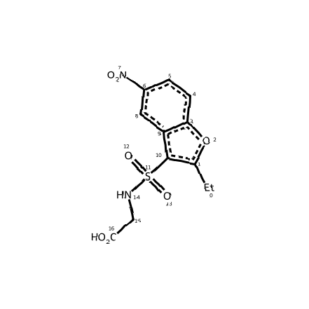 CCc1oc2ccc([N+](=O)[O-])cc2c1S(=O)(=O)NCC(=O)O